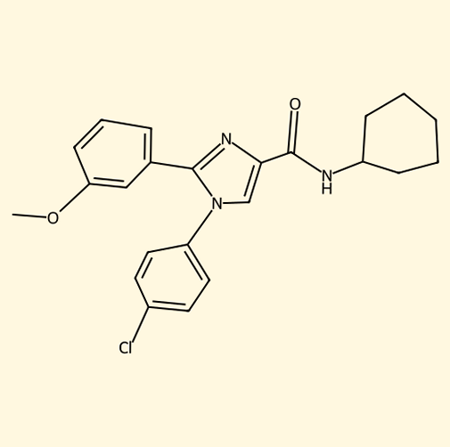 COc1cccc(-c2nc(C(=O)NC3CCCCC3)cn2-c2ccc(Cl)cc2)c1